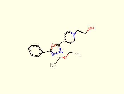 FC(F)(F)COCC(F)(F)F.OCC[n+]1ccc(-c2nnc(-c3ccccc3)o2)cc1